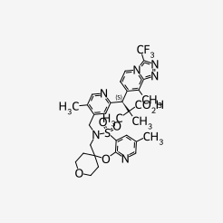 Cc1cnc2c(c1)S(=O)(=O)N(Cc1cc([C@@H](c3ccn4c(C(F)(F)F)nnc4c3C)C(C)(C)C(=O)O)ncc1C)CC1(CCOCC1)O2